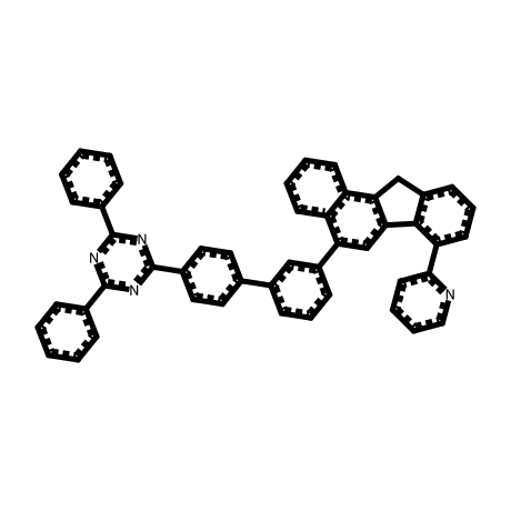 c1ccc(-c2nc(-c3ccccc3)nc(-c3ccc(-c4cccc(-c5cc6c(c7ccccc57)Cc5cccc(-c7ccccn7)c5-6)c4)cc3)n2)cc1